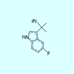 CC(C)C(C)(C)c1c[nH]c2ccc(F)cc12